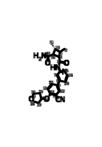 CC1C(C(=O)Nc2cc(-c3ccc(OC4CCOCC4)c(C#N)c3)ccn2)C(C(N)=O)[C@@H]1C